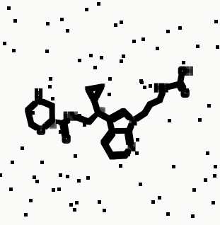 O=C(O)NCCCn1cc([C@@H](CNC(=O)[C@H]2CNCCO2)C2CC2)c2cccnc21